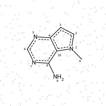 Cn1ccc2ncnc(N)c21